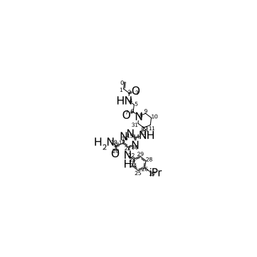 C=CC(=O)NCC(=O)N1CCC[C@H](Nc2nnc(C(N)=O)c(Nc3ccc(C(C)C)cc3)n2)C1